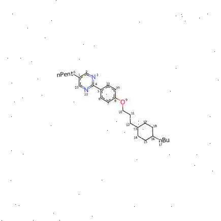 CCCCCc1cnc(-c2ccc(OCCCC3CCC(CCCC)CC3)cc2)nc1